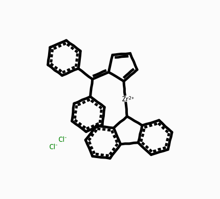 C1=CC(=C(c2ccccc2)c2ccccc2)[C]([Zr+2][CH]2c3ccccc3-c3ccccc32)=C1.[Cl-].[Cl-]